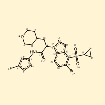 O=C(Nc1ncc(F)s1)C(CC1CCOCC1)n1ncc2c(S(=O)(=O)C3CC3)c(Br)ccc21